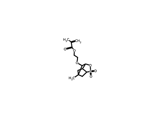 C=C(C)C(=O)OCCOC1C2OS(=O)(=O)C3CC1(C)CC23